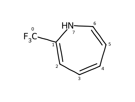 FC(F)(F)C1=CC=CC=CN1